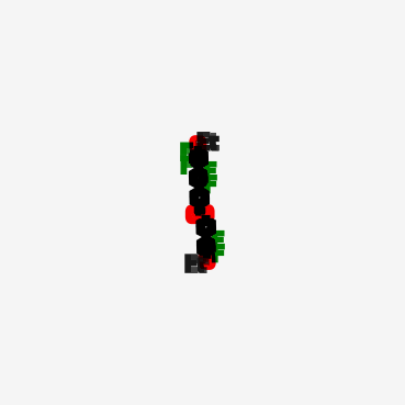 CCOc1ccc(-c2ccc(C3CCC(C(=O)OC4CCC(c5ccc(OCC)c(F)c5F)CC4)CC3)c(F)c2F)c(F)c1F